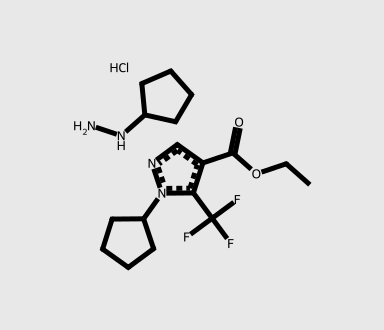 CCOC(=O)c1cnn(C2CCCC2)c1C(F)(F)F.Cl.NNC1CCCC1